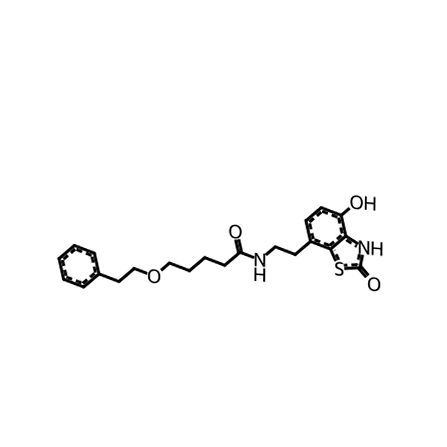 O=C(CCCCOCCc1ccccc1)NCCc1ccc(O)c2[nH]c(=O)sc12